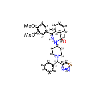 COc1ccc(C2=NN(C3CCN(C(c4ccccc4)c4csnn4)CC3)C(=O)[C@@H]3CC=CC[C@H]23)cc1OC